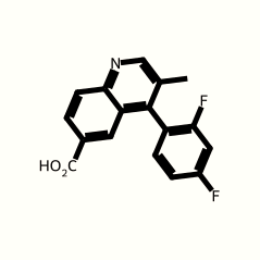 Cc1cnc2ccc(C(=O)O)cc2c1-c1ccc(F)cc1F